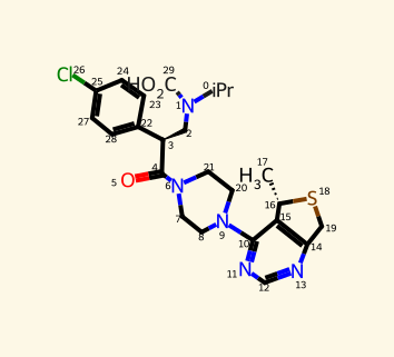 CC(C)N(C[C@@H](C(=O)N1CCN(c2ncnc3c2[C@H](C)SC3)CC1)c1ccc(Cl)cc1)C(=O)O